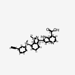 C#Cc1cccc(N(C)c2cccc3c(-c4cc5nccc(C(=O)O)c5[nH]4)nn(C)c23)c1